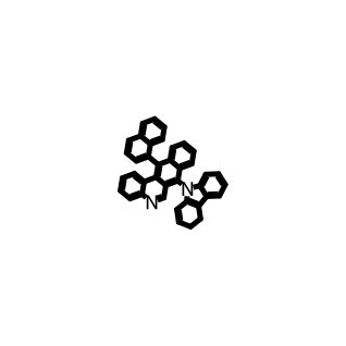 C1=Cc2c(c3ccccc3n2-c2c3ccccc3c(-c3cccc4ccccc34)c3c2cnc2ccccc23)CC1